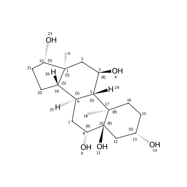 C[C@]12C[C@@H](O)[C@H]3[C@@H](C[C@@H](O)[C@@]4(O)C[C@@H](O)CC[C@]34C)[C@@H]1CC[C@@H]2O